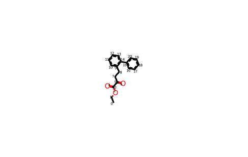 CCOC(=O)C(=O)CCc1ccccc1-c1ccccc1